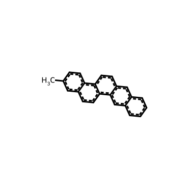 Cc1ccc2c(ccc3c4cc5ccccc5cc4ccc23)c1